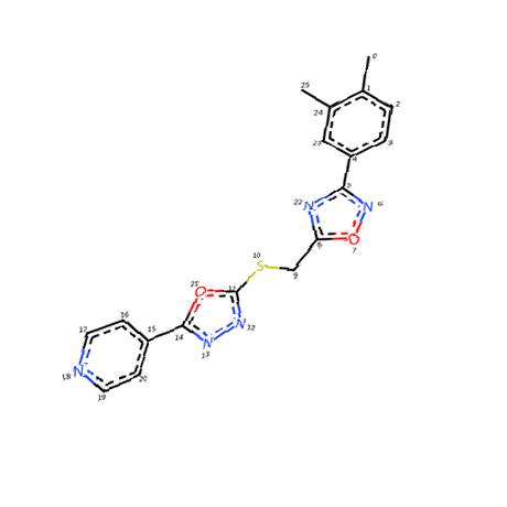 Cc1ccc(-c2noc(CSc3nnc(-c4ccncc4)o3)n2)cc1C